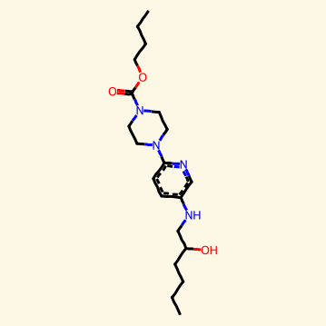 CCCCOC(=O)N1CCN(c2ccc(NCC(O)CCCC)cn2)CC1